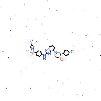 CNC1CN(C(=O)c2ccc(Nc3nc4c(N5CCC(O)C(c6ccc(Cl)cc6)C5)cccn4n3)cc2)C1